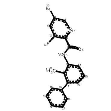 Cc1c(NC(=O)c2ncc(Br)cc2F)cccc1-c1ccccc1